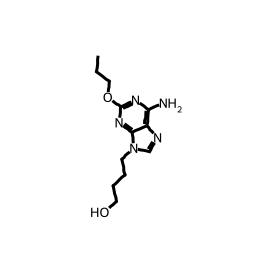 CCCOc1nc(N)c2ncn(CCCCO)c2n1